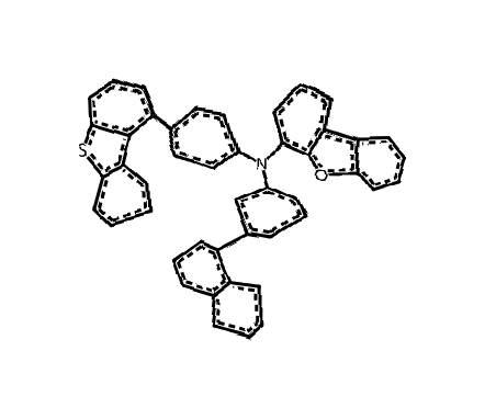 c1cc(-c2cccc3ccccc23)cc(N(c2ccc(-c3cccc4sc5ccccc5c34)cc2)c2cccc3c2oc2ccccc23)c1